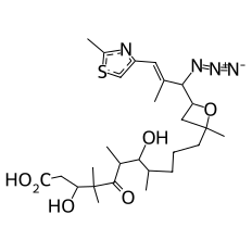 C/C(=C\c1csc(C)n1)C(N=[N+]=[N-])C1CC(C)(CCCC(C)C(O)C(C)C(=O)C(C)(C)C(O)CC(=O)O)O1